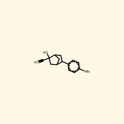 C#CC1(O)CC2CC1CC2c1ccc(CCCC)cc1